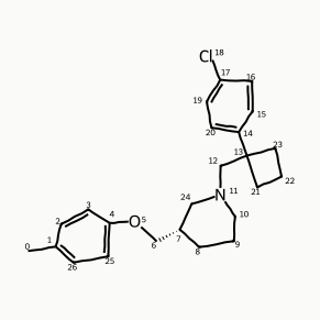 Cc1ccc(OC[C@H]2CCCN(CC3(c4ccc(Cl)cc4)CCC3)C2)cc1